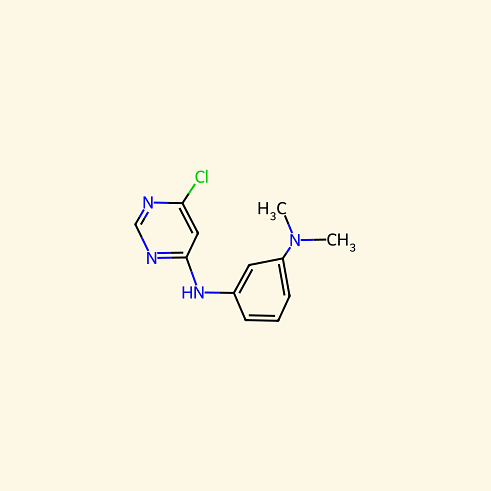 CN(C)c1cccc(Nc2cc(Cl)ncn2)c1